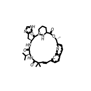 CC(C)[C@@H]1NC(=O)C(C)(C)/C=C/c2ccc3ccc(nc3c2)[C@@H](C)OC(=O)C2CCCN(N2)C(=O)[C@H](Cc2c[nH]cn2)NC1=O